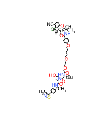 Cc1ncsc1-c1ccc(C(C)NC(=O)[C@@H]2C[C@@H](O)CN2C(=O)[C@@H](NC(=O)COCCCOCCCCCOc2ccc(C(=O)N[C@H]3C(C)(C)[C@H](Oc4ccc(C#N)c(Cl)c4)C3(C)C)cc2)C(C)(C)C)cc1